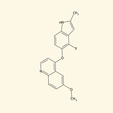 COc1ccc2nccc(Oc3ccc4[nH]c(C)cc4c3F)c2c1